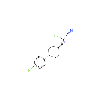 N#C/C(F)=C/[C@H]1CC[C@H](c2ccc(F)cc2)CC1